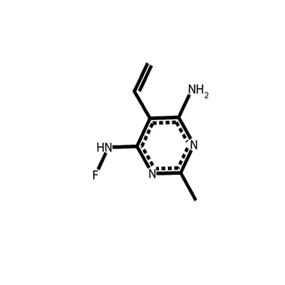 C=Cc1c(N)nc(C)nc1NF